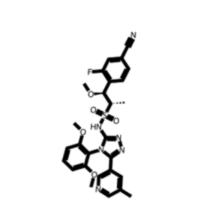 COc1cccc(OC)c1-n1c(NS(=O)(=O)[C@@H](C)[C@@H](OC)c2ccc(C#N)cc2F)nnc1-c1cncc(C)c1